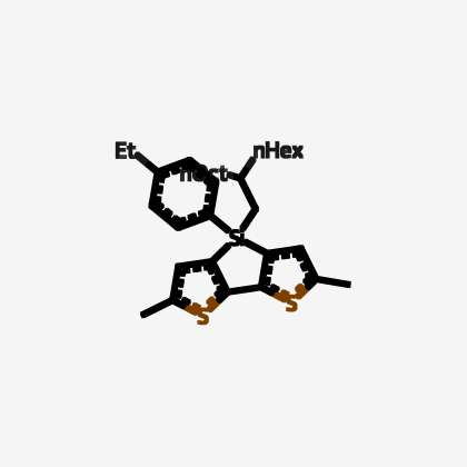 CCCCCCCCC(CCCCCC)C[Si]1(c2ccc(CC)cc2)c2cc(C)sc2-c2sc(C)cc21